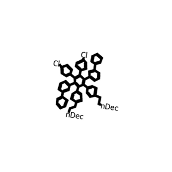 CCCCCCCCCCCCc1ccc(-c2c(-c3ccc(CCCCCCCCCCCC)cc3)c(-c3cccc(-c4ccccc4)c3)c(-c3ccc(Cl)cc3)c(-c3ccc(Cl)cc3)c2-c2cccc(-c3ccccc3)c2)cc1